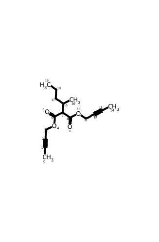 CC#CCOC(=O)C(C(=O)OCC#CC)C(C)CCC